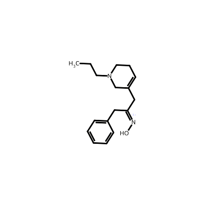 CCCN1CCC=C(C/C(Cc2ccccc2)=N/O)C1